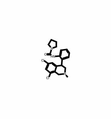 CN1Cc2c(Cl)cc(Cl)cc2C(c2ccccc2NC(=O)N2CCCC2)C1